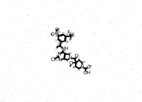 COC1(C(=O)N2Cc3nc(Cl)nc(NC(C)c4cc([N+](=O)[O-])cc(C(F)(F)F)c4)c3C2)CCN(C(=O)O)CC1